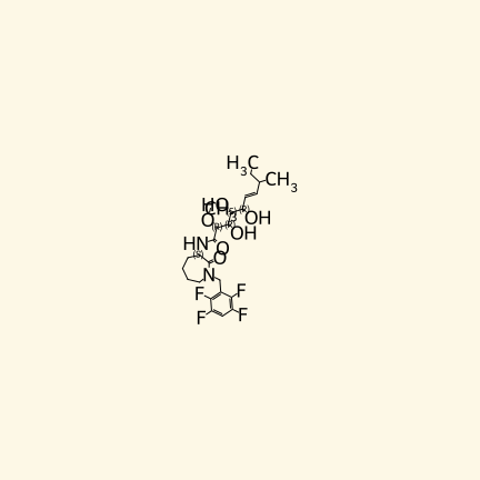 CCC(C)C=C[C@@H](O)[C@H](O)[C@@H](O)[C@@H](OC)C(=O)N[C@H]1CCCCN(Cc2c(F)c(F)cc(F)c2F)C1=O